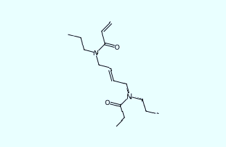 C=CC(=O)N(C/C=C/CN(CCC)C(=O)CC)CCC